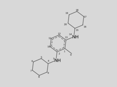 Cc1c(NC2CCCCC2)cccc1NC1CCCCC1